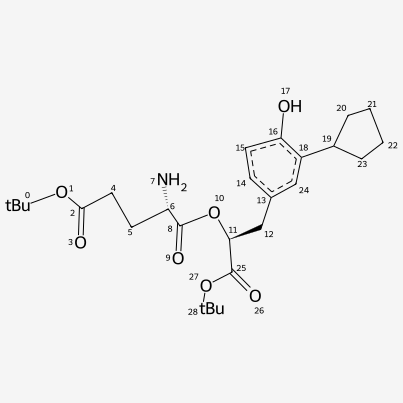 CC(C)(C)OC(=O)CC[C@H](N)C(=O)O[C@@H](Cc1ccc(O)c(C2CCCC2)c1)C(=O)OC(C)(C)C